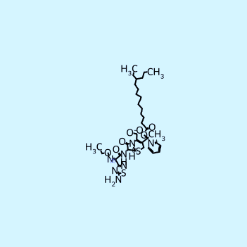 CCCC(CC)CCCCCCCCCC(=O)OC(C)(C1=C(C(=O)[O-])N2C(=O)C(NC(=O)/C(=N\OCC)c3nsc(N)n3)[C@H]2SC1)[n+]1ccccc1